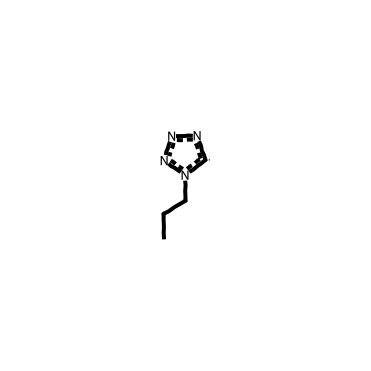 CCCn1[c]nnn1